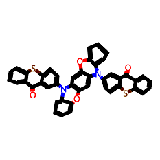 O=c1c2ccccc2sc2ccc(-n3c4ccccc4oc4cc5c(cc43)oc3ccccc3n5-c3ccc4sc5ccccc5c(=O)c4c3)cc12